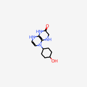 O=C1CNC2=C(NC=CN2C2CCC(O)CC2)N1